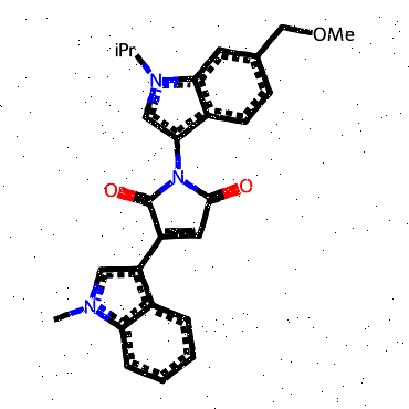 COCc1ccc2c(N3C(=O)C=C(c4cn(C)c5ccccc45)C3=O)cn(C(C)C)c2c1